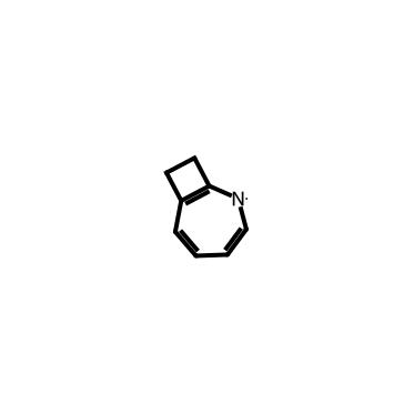 C1=C[N]C2=C(C=C1)CC2